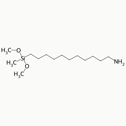 CO[Si](C)(CCCCCCCCCCCN)OC